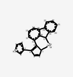 CC1C=CC(c2ccsc2)=C1c1cccc2c1[CH]([Zr])c1ccccc1-2